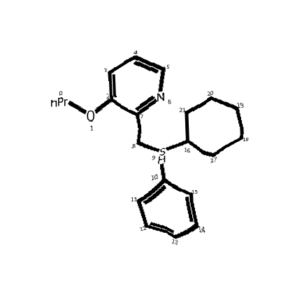 CCCOc1cccnc1C[SH](c1ccccc1)C1CCCCC1